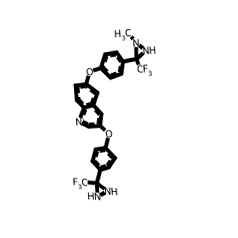 CN1NC1(c1ccc(Oc2ccc3ncc(Oc4ccc(C5(C(F)(F)F)NN5)cc4)cc3c2)cc1)C(F)(F)F